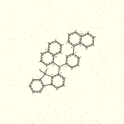 CC1(C)c2ccccc2-c2cccc(N(c3cccc(-c4cccc5ccccc45)c3)c3cccc4ccccc34)c21